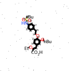 CCCCOc1cc(/C=C(\OCC)C(=O)O)ccc1OCCc1ccc(NS(=O)(=O)CCCC)cc1